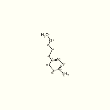 COCCCC1=NN=C(N)SC1